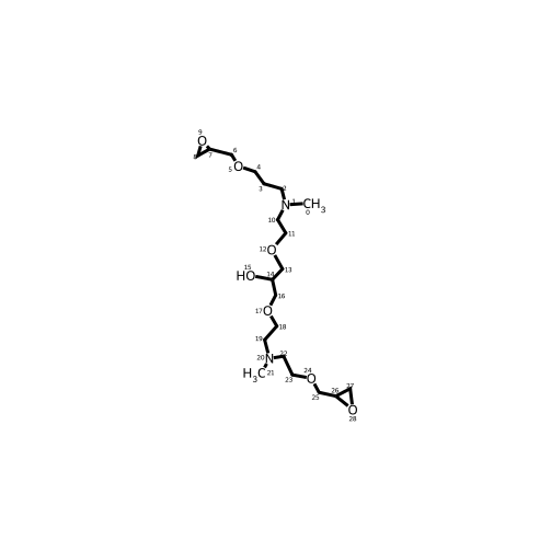 CN(CCCOCC1CO1)CCOCC(O)COCCN(C)CCOCC1CO1